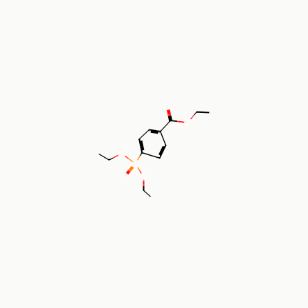 CCOC(=O)c1ccc(P(=O)(OCC)OCC)cc1